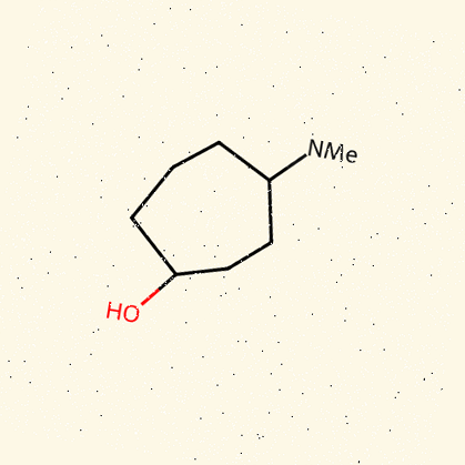 CNC1CCCC(O)CC1